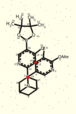 COc1ncc(CN2C3CC2CN(c2cc(Cl)c(B4OC(C)(C)C(C)(C)O4)cn2)C3)cc1F